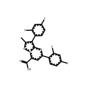 Cc1nn2c(C(=O)O)cc(-c3ccc(F)cc3F)nc2c1-c1ccc(F)cc1F